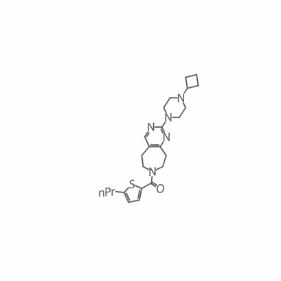 CCCc1ccc(C(=O)N2CCc3cnc(N4CCN(C5CCC5)CC4)nc3CC2)s1